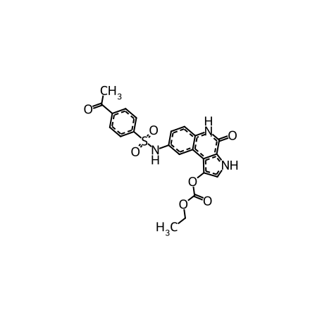 CCOC(=O)Oc1c[nH]c2c(=O)[nH]c3ccc(NS(=O)(=O)c4ccc(C(C)=O)cc4)cc3c12